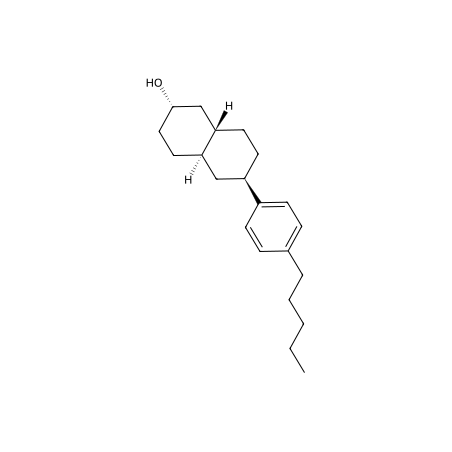 CCCCCc1ccc([C@@H]2CC[C@H]3C[C@@H](O)CC[C@@H]3C2)cc1